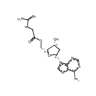 N=C(N)NCC(=O)OC[C@H]1O[C@@H](n2cnc3c(N)ncnc32)C[C@H]1O